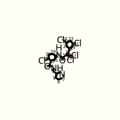 O=C(NCc1cccnc1)c1cc(NC(=O)C2C(c3cc(Cl)cc(Cl)c3)C2(Cl)Cl)ccc1Cl